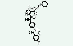 O=C(Nc1ccc(NC(=O)c2nc[nH]c2C(=O)NCCN2CCCCC2)cc1)c1ccc(F)cc1Cl